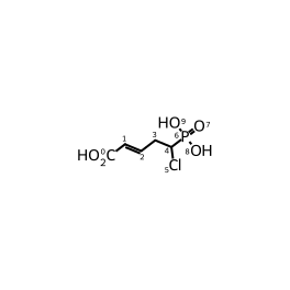 O=C(O)C=CCC(Cl)P(=O)(O)O